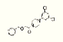 O=C(COCc1ccccc1)N1CCN(c2cc(Cl)cc(Cl)c2)CC1